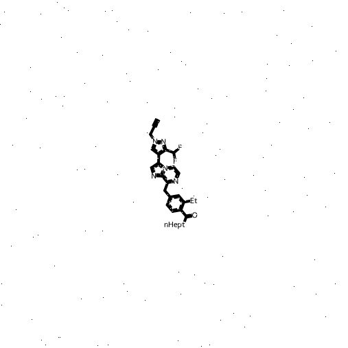 C#CCn1cc(-c2cnc3c(Cc4ccc(C(=O)CCCCCCC)c(CC)c4)nccn23)c(C(F)F)n1